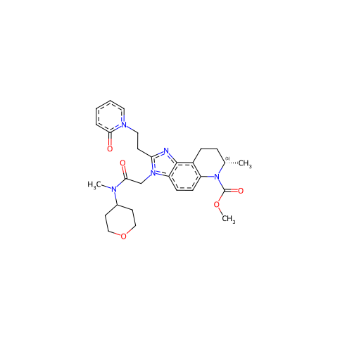 COC(=O)N1c2ccc3c(nc(CCn4ccccc4=O)n3CC(=O)N(C)C3CCOCC3)c2CC[C@@H]1C